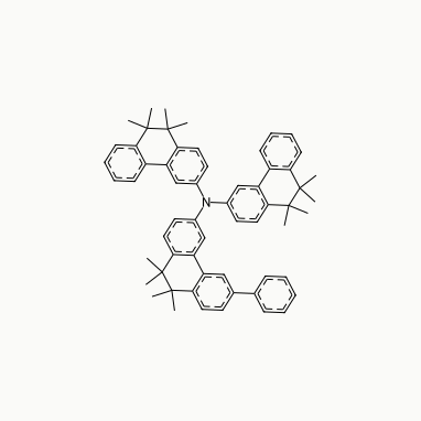 CC1(C)c2ccccc2-c2cc(N(c3ccc4c(c3)-c3ccccc3C(C)(C)C4(C)C)c3ccc4c(c3)-c3cc(-c5ccccc5)ccc3C(C)(C)C4(C)C)ccc2C1(C)C